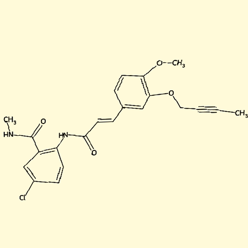 CC#CCOc1cc(/C=C/C(=O)Nc2ccc(Cl)cc2C(=O)NC)ccc1OC